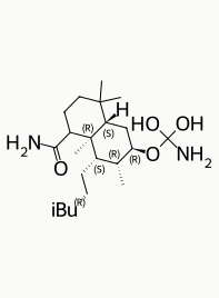 CC[C@@H](C)CC[C@H]1[C@@H](C)[C@H](OC(N)(O)O)C[C@H]2C(C)(C)CCC(C(N)=O)[C@]12C